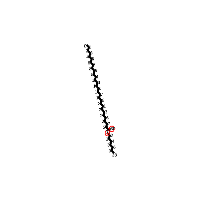 CCCCCCCCCCCCCCCCCCCCCCCCCCCCCC(=O)OCCCCCCC